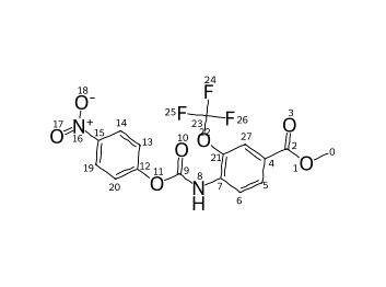 COC(=O)c1ccc(NC(=O)Oc2ccc([N+](=O)[O-])cc2)c(OC(F)(F)F)c1